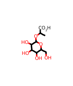 CC(OC1OC(CO)C(O)C(O)C1O)C(=O)O